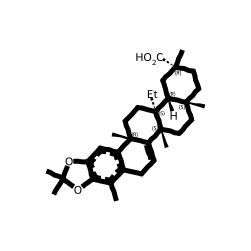 CC[C@@]12CC[C@]3(C)C(=CCc4c3cc3c(c4C)OC(C)(C)O3)[C@@]1(C)CC[C@@]1(C)CC[C@@](C)(C(=O)O)C[C@H]12